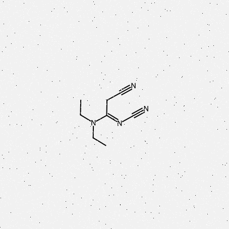 CCN(CC)C(CC#N)=NC#N